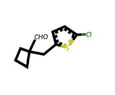 O=CC1(Cc2ccc(Cl)s2)CCC1